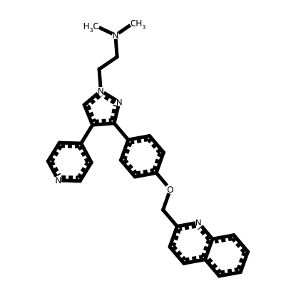 CN(C)CCn1cc(-c2ccncc2)c(-c2ccc(OCc3ccc4ccccc4n3)cc2)n1